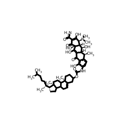 CC(C)CCC[C@@H](C)[C@H]1CCC2C3CC=C4CC(OC(=O)Nc5ccc6c(c5O)C(=O)C5=C(O)[C@]7(O)C(=O)C(C(N)=O)=C(O)[C@@H](N(C)C)[C@@H]7[C@@H](O)[C@@H]5[C@H]6C)CC[C@]4(C)C3CC[C@@]21C